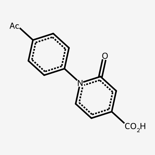 CC(=O)c1ccc(-n2ccc(C(=O)O)cc2=O)cc1